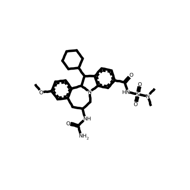 COc1ccc2c(c1)CC(NC(N)=O)CN1c3cc(C(=O)NS(=O)(=O)N(C)C)ccc3C(C3CCCCC3)C21